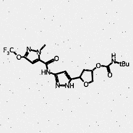 Cn1nc(OC(F)(F)F)cc1C(=O)Nc1cc(C2CC(OC(=O)NC(C)(C)C)CO2)[nH]n1